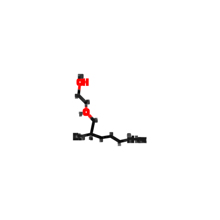 CCCCCCCCCC(CC)COCCO